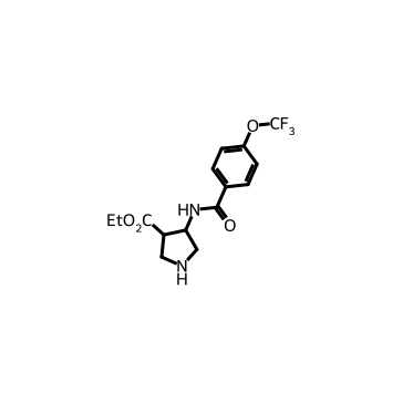 CCOC(=O)C1CNCC1NC(=O)c1ccc(OC(F)(F)F)cc1